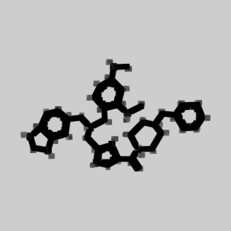 C=C(c1csc(CN(Cc2ccc3c(c2)OCO3)Cc2ccc(OC)cc2OC)n1)N1CCC(Cc2ccccc2)CC1